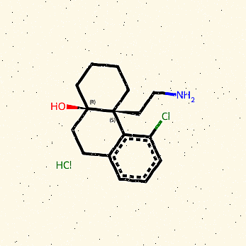 Cl.NCC[C@]12CCCC[C@@]1(O)CCc1cccc(Cl)c12